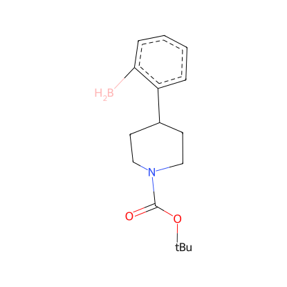 Bc1ccccc1C1CCN(C(=O)OC(C)(C)C)CC1